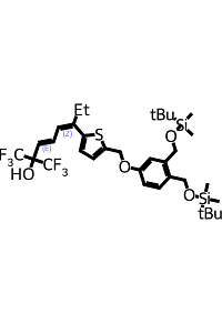 CC/C(=C/C=C/C(O)(C(F)(F)F)C(F)(F)F)c1ccc(COc2ccc(CO[Si](C)(C)C(C)(C)C)c(CO[Si](C)(C)C(C)(C)C)c2)s1